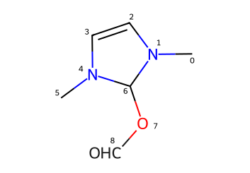 CN1C=CN(C)C1OC=O